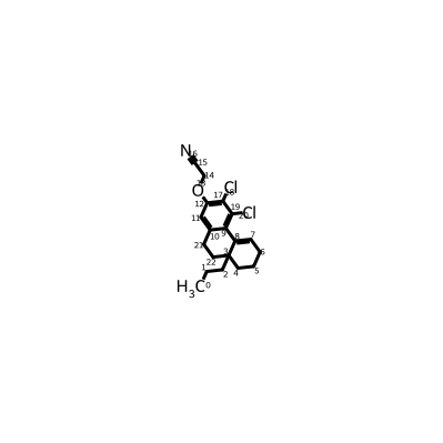 CCCC12CCCC=C1c1c(cc(OCC#N)c(Cl)c1Cl)CC2